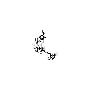 Cc1cc(NC(=O)[C@H](C)NC(=O)[C@@H](NC(=O)CCCCCN2C(=O)C=CC2=O)C(C)C)ccc1CI